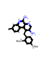 COc1ccc(Cc2c(N)cnc3c(N)nc4cc(C)ccc4c23)c(OC)c1